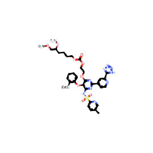 COc1ccccc1Oc1c(NS(=O)(=O)c2ccc(C)cn2)nc(-c2ccnc(-c3nnn[nH]3)c2)nc1OCCOC(=O)OCCCCC(CO[N+](=O)[O-])O[N+](=O)[O-]